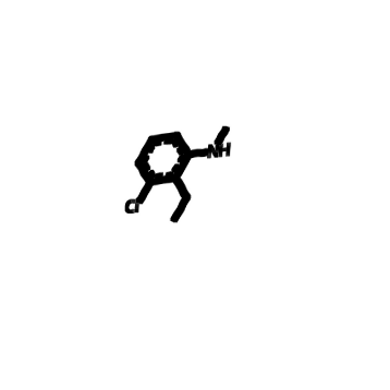 CCc1c(Cl)cccc1NC